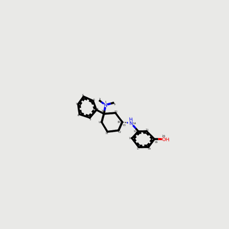 CN(C)C1(c2ccccc2)CCC[C@@H](Nc2cccc(O)c2)C1